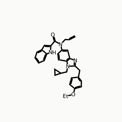 C=CCN(C(=O)c1cc2ccccc2[nH]1)c1ccc2c(c1)nc(Cc1ccc(OCC)cc1)n2CC1CC1